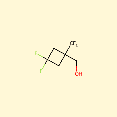 OCC1(C(F)(F)F)CC(F)(F)C1